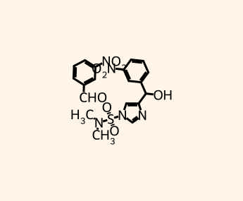 CN(C)S(=O)(=O)n1cnc(C(O)c2cccc([N+](=O)[O-])c2)c1.O=Cc1cccc([N+](=O)[O-])c1